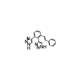 C(=Cc1cccc(-c2c[nH]nn2)c1-c1c[nH]nn1)c1ccccc1